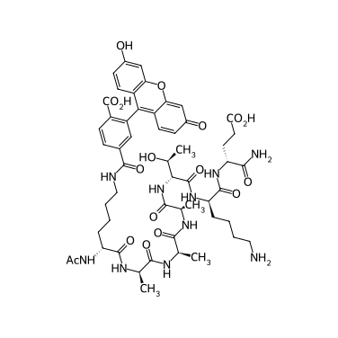 CC(=O)N[C@H](CCCCNC(=O)c1ccc(C(=O)O)c(-c2c3ccc(=O)cc-3oc3cc(O)ccc23)c1)C(=O)N[C@H](C)C(=O)N[C@H](C)C(=O)N[C@H](C)C(=O)N[C@@H](C(=O)N[C@H](CCCCN)C(=O)N[C@H](CCC(=O)O)C(N)=O)[C@H](C)O